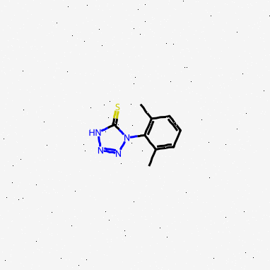 Cc1cccc(C)c1-n1nn[nH]c1=S